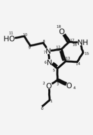 CCOC(=O)c1nn(CCCO)c2c1CCNC2=O